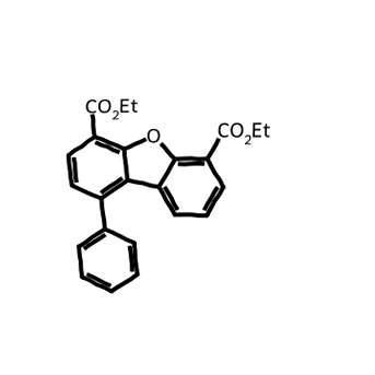 CCOC(=O)c1cccc2c1oc1c(C(=O)OCC)ccc(-c3ccccc3)c12